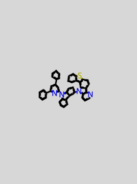 c1ccc(-c2cc(-c3ccccc3)nc(-n3c4ccccc4c4cc(-n5c6cccnc6c6ccc7sc8ccccc8c7c65)ccc43)c2)cc1